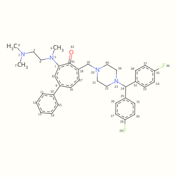 CN(C)CCN(C)c1cc(-c2ccccc2)ccc(CN2CCN(C(c3ccc(F)cc3)c3ccc(F)cc3)CC2)c1=O